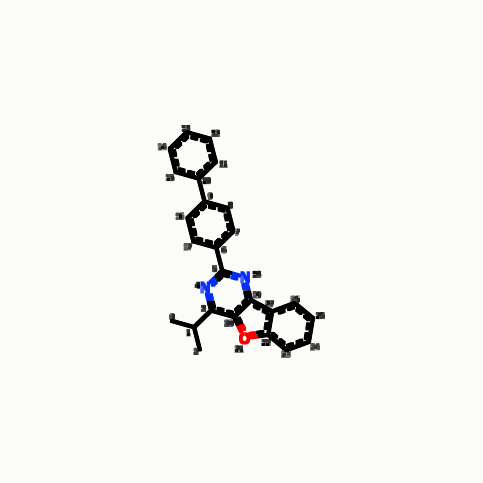 CC(C)c1nc(-c2ccc(-c3ccccc3)cc2)nc2c1oc1ccccc12